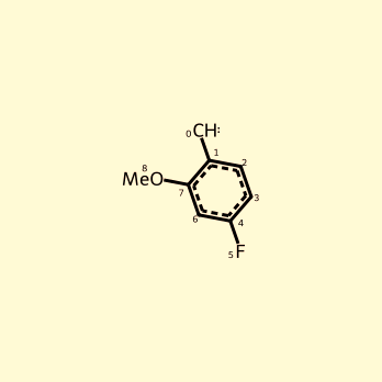 [CH]c1ccc(F)cc1OC